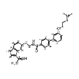 CN(C)CCCOc1cccc(-c2ccc(C(=O)NCCc3ccc4[nH]cc(C(=N)N)c4c3)cc2)c1